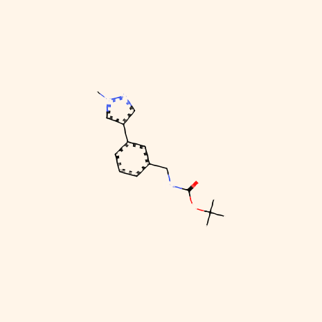 Cn1cc(-c2cccc(CNC(=O)OC(C)(C)C)c2)cn1